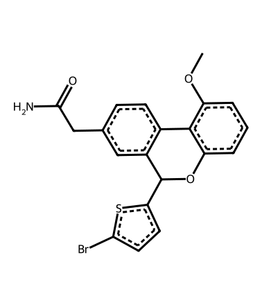 COc1cccc2c1-c1ccc(CC(N)=O)cc1C(c1ccc(Br)s1)O2